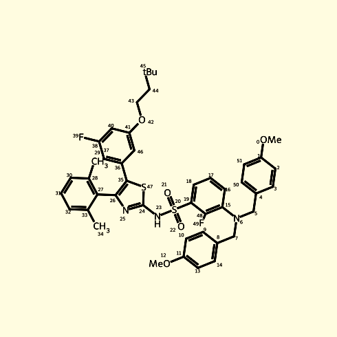 COc1ccc(CN(Cc2ccc(OC)cc2)c2cccc(S(=O)(=O)Nc3nc(-c4c(C)cccc4C)c(-c4cc(F)cc(OCCC(C)(C)C)c4)s3)c2F)cc1